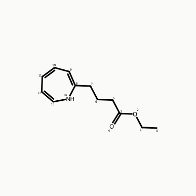 CCOC(=O)CCCC1=CC=CC=CN1